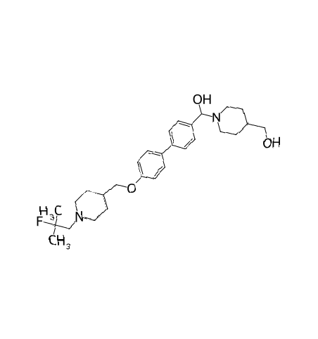 CC(C)(F)CN1CCC(COc2ccc(-c3ccc(C(O)N4CCC(CO)CC4)cc3)cc2)CC1